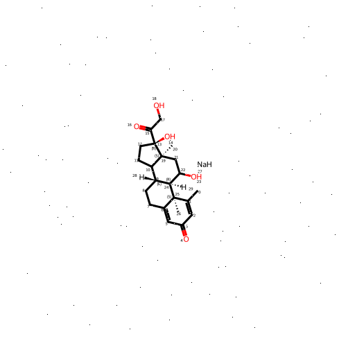 CC1=CC(=O)C=C2CC[C@@H]3C4CC[C@](O)(C(=O)CO)[C@@]4(C)CC(O)[C@H]3[C@@]12C.[NaH]